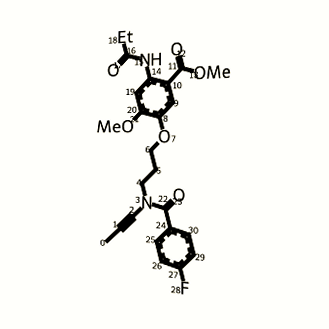 CC#CN(CCCOc1cc(C(=O)OC)c(NC(=O)CC)cc1OC)C(=O)c1ccc(F)cc1